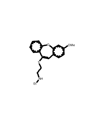 CCNCCSC1=Cc2ccc(OC)cc2Oc2ccccc21